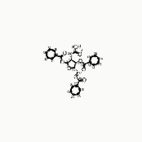 CC(=O)S[C@H]1C(OC(=O)c2ccccc2)O[C@@H](COC(=O)c2ccccc2)[C@@H]1OC(=O)c1ccccc1